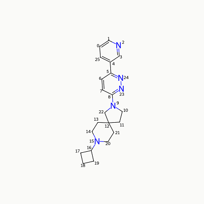 c1cncc(-c2ccc(N3CCC4(CCN(C5CCC5)CC4)C3)nn2)c1